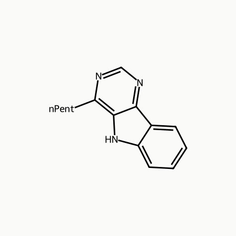 CCCCCc1ncnc2c1[nH]c1ccccc12